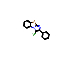 Brc1c(-c2ccccc2)nc2sc3ccccc3n12